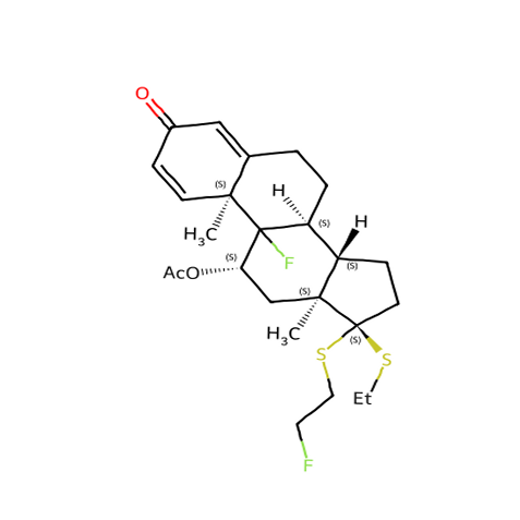 CCS[C@]1(SCCF)CC[C@H]2[C@@H]3CCC4=CC(=O)C=C[C@]4(C)C3(F)[C@@H](OC(C)=O)C[C@@]21C